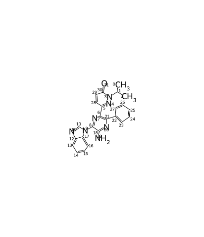 CC(C)n1nc(-c2nc(-n3cnc4ccccc43)c(N)nc2-c2ccccc2)ccc1=O